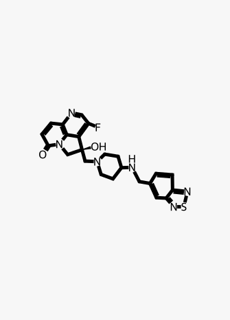 O=c1ccc2ncc(F)c3c2n1C[C@@]3(O)CN1CCC(NCc2ccc3nsnc3c2)CC1